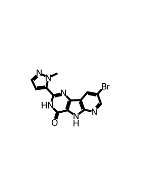 Cn1nccc1-c1nc2c([nH]c3ncc(Br)cc32)c(=O)[nH]1